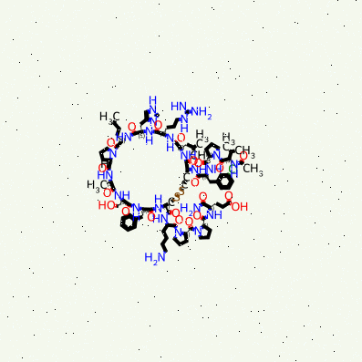 CCCC[C@@H]1NC(=O)[C@H](Cc2c[nH]cn2)NC(=O)[C@H](CCCNC(=N)N)NC(=O)[C@H](CC(C)C)NC(=O)C(NC(=O)[C@H](Cc2cccc(Cl)c2)NC(=O)[C@@H]2CCCN2C(=O)[C@@H](NC(C)=O)C(C)C)CCSSC[C@@H](C(=O)NC(CCCCN)C(=O)N2CCC[C@H]2C(=O)N2CCC[C@H]2C(=O)N[C@@H](CCC(=O)O)C(N)=O)NC(=O)[C@H](Cc2ccccc2)NC(=O)[C@H](CO)NC(=O)[C@H](C)NC(=O)[C@@H]2CCCN2C1=O